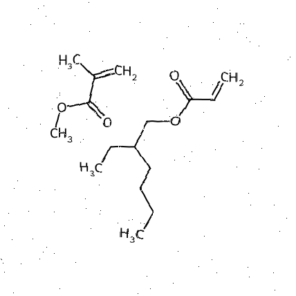 C=C(C)C(=O)OC.C=CC(=O)OCC(CC)CCCC